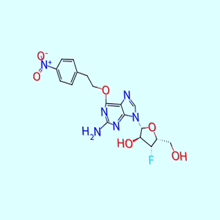 Nc1nc(OCCc2ccc([N+](=O)[O-])cc2)c2ncn([C@@H]3O[C@H](CO)[C@H](F)[C@H]3O)c2n1